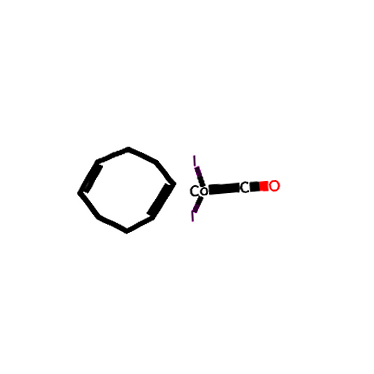 C1=CCCC=CCC1.O=[C]=[Co]([I])[I]